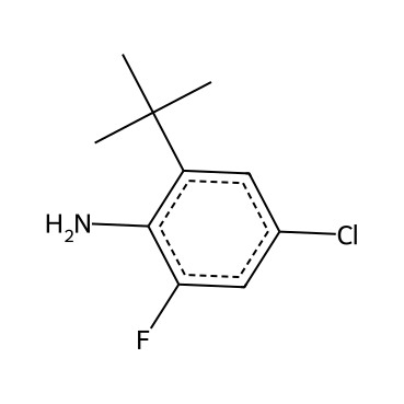 CC(C)(C)c1cc(Cl)cc(F)c1N